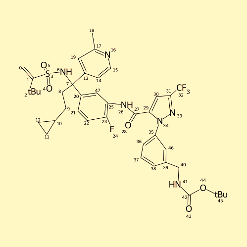 C=C(C(C)(C)C)S(=O)(=O)NC(CCC1CC1)(c1ccnc(C)c1)c1ccc(F)c(NC(=O)c2cc(C(F)(F)F)nn2-c2cccc(CNC(=O)OC(C)(C)C)c2)c1